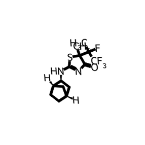 CC1(C(C)(F)C(F)(F)F)SC(N[C@H]2C[C@@H]3CC[C@H]2C3)=NC1=O